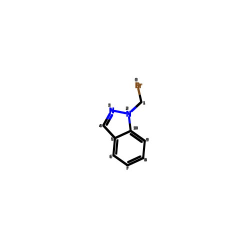 BrCn1ncc2ccccc21